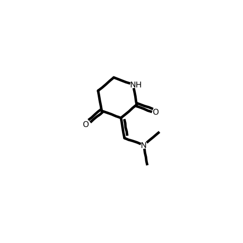 CN(C)/C=C1/C(=O)CCNC1=O